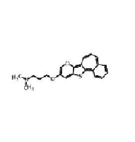 CN(C)CCCOC1=COc2c3c(sc2=C1)=c1ccccc1=CC=C3